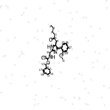 CCCCC(=O)Cc1[nH]c(CNC(=O)OCc2ccccc2)nc1-c1ccccc1OC